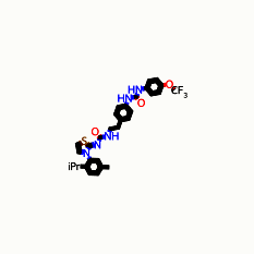 Cc1ccc(C(C)C)c(-n2ccsc2=NC(=O)NCCc2ccc(NC(=O)Nc3ccc(OC(F)(F)F)cc3)cc2)c1